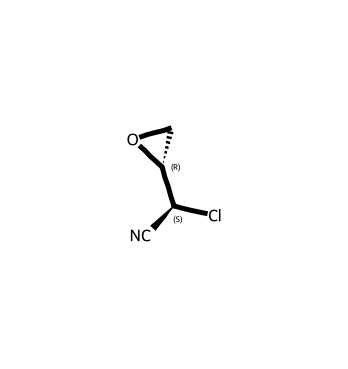 N#C[C@H](Cl)[C@H]1CO1